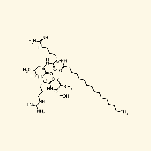 CCCCCCCCCCCCCCCC(=O)N[C@@H](CCCNC(=N)N)C(=O)N[C@@H](CC(C)C)C(=O)N[C@@H](CCCNC(=N)N)C(=O)N[C@@H](CO)C(C)=O